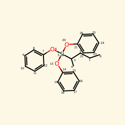 CCCC(C)[Si](Oc1ccccc1)(Oc1ccccc1)Oc1ccccc1